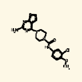 COc1ccc(NC(=O)N2CCN(c3nc(N)nc4sccc34)CC2)cc1Cl